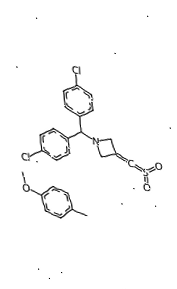 COc1ccc(C)cc1.O=S(=O)=C=C1CN(C(c2ccc(Cl)cc2)c2ccc(Cl)cc2)C1